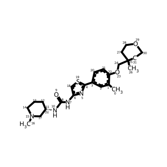 Cc1cc(-c2nc(NC(=O)N[C@H]3CCCN(C)C3)cs2)ccc1OCC1(C)CCOCC1